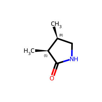 C[C@@H]1C(=O)NC[C@@H]1C